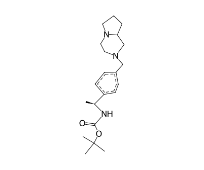 C[C@H](NC(=O)OC(C)(C)C)c1ccc(CN2CCN3CCCC3C2)cc1